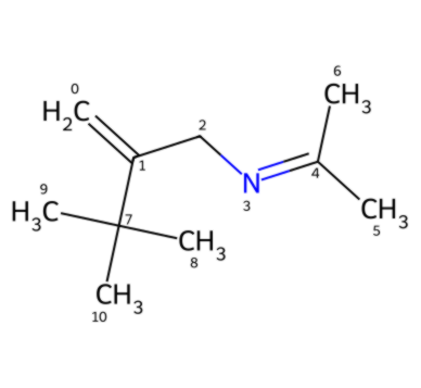 C=C(CN=C(C)C)C(C)(C)C